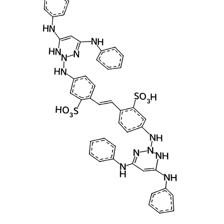 O=S(=O)(O)c1cc(NN2N=C(Nc3ccccc3)C=C(Nc3ccccc3)N2)ccc1C=Cc1ccc(NN2N=C(Nc3ccccc3)C=C(Nc3ccccc3)N2)cc1S(=O)(=O)O